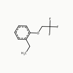 CCc1[c]cccc1OCC(F)(F)F